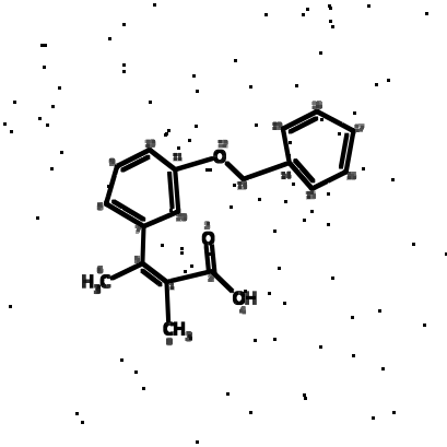 CC(C(=O)O)=C(C)c1cccc(OCc2ccccc2)c1